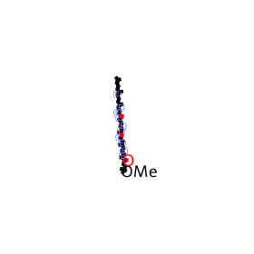 COC(C)(C)CCC(=O)/C(C)=C/C=C/C(C)=C/C=C/C(C)=C/C=C/C=C(C)/C=C/C=C(\C)CC/C=C(\C)CCC=C(C)C